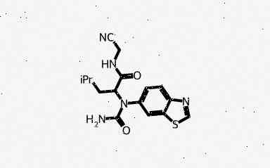 CC(C)CC(C(=O)NCC#N)N(C(N)=O)c1ccc2ncsc2c1